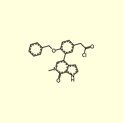 Cn1cc(-c2cc(CC(=O)Cl)ccc2OCc2ccccc2)c2cc[nH]c2c1=O